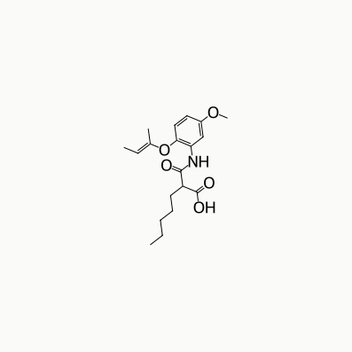 C/C=C(\C)Oc1ccc(OC)cc1NC(=O)C(CCCCC)C(=O)O